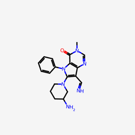 Cn1cnc2c(C=N)c(N3CCCC(N)C3)n(-c3ccccc3)c2c1=O